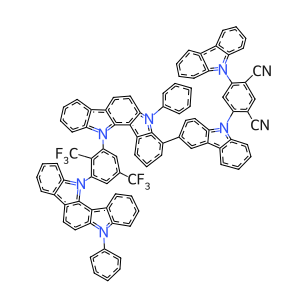 N#Cc1cc(C#N)c(-n2c3ccccc3c3cc(-c4cccc5c6c(ccc7c8ccccc8n(-c8cc(C(F)(F)F)cc(-n9c%10ccccc%10c%10ccc%11c(c%12ccccc%12n%11-c%11ccccc%11)c%109)c8C(F)(F)F)c76)n(-c6ccccc6)c45)ccc32)cc1-n1c2ccccc2c2ccccc21